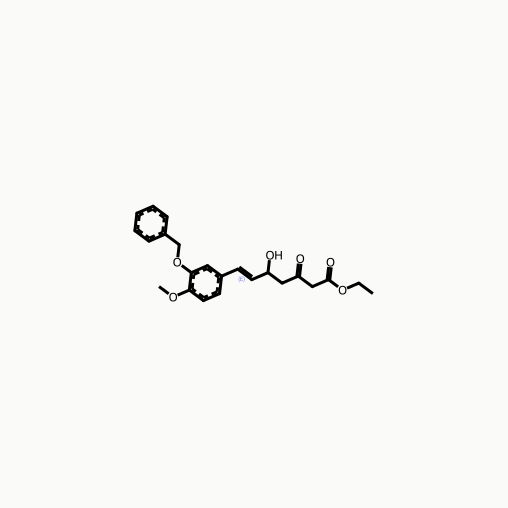 CCOC(=O)CC(=O)CC(O)/C=C/c1ccc(OC)c(OCc2ccccc2)c1